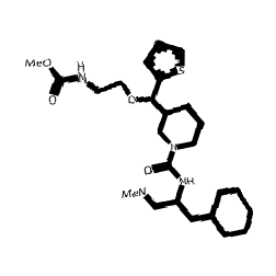 CNCC(CC1CCCCC1)NC(=O)N1CCCC(C(OCCNC(=O)OC)c2cccs2)C1